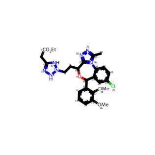 CCOC(=O)CC1=NNN(CCC2OC(c3cccc(OC)c3OC)c3cc(Cl)ccc3-n3c(C)nnc32)N1